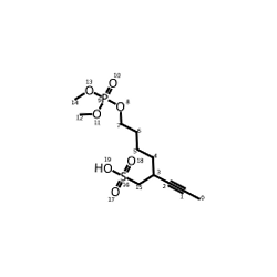 CC#CC(CCCCOP(=O)(OC)OC)CS(=O)(=O)O